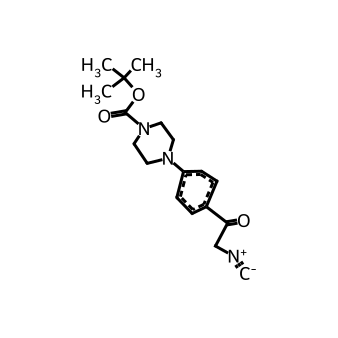 [C-]#[N+]CC(=O)c1ccc(N2CCN(C(=O)OC(C)(C)C)CC2)cc1